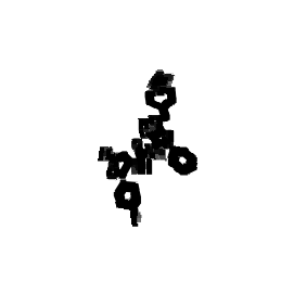 CCN1C[C@@H](NC(=O)Nc2c(C)c(OCC3CCN(C(C)=O)CC3)nn2-c2ccccc2)[C@H](c2ccc(F)cc2)O1